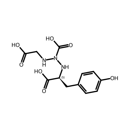 O=C(O)CNN(N[C@@H](Cc1ccc(O)cc1)C(=O)O)C(=O)O